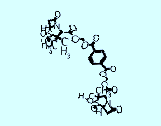 CC1(C)[C@H](C(=O)OCOC(=O)c2ccc(C(=O)OCOC(=O)[C@@H]3N4C(=O)C[C@H]4S(=O)(=O)C3(C)C)cc2)N2C(=O)C[C@H]2S1(=O)=O